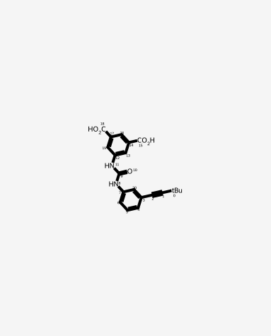 CC(C)(C)C#Cc1cccc(NC(=O)Nc2cc(C(=O)O)cc(C(=O)O)c2)c1